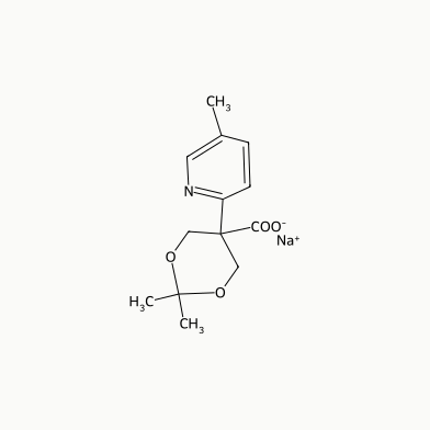 Cc1ccc(C2(C(=O)[O-])COC(C)(C)OC2)nc1.[Na+]